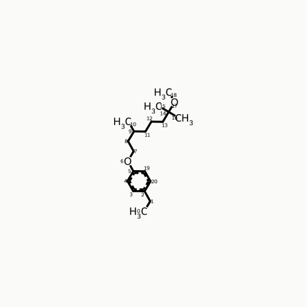 CCc1ccc(OCCC(C)CCCC(C)(C)OC)cc1